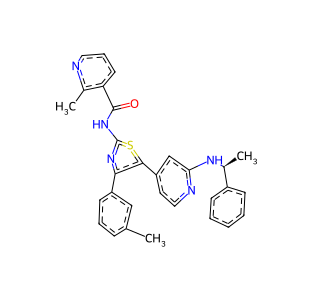 Cc1cccc(-c2nc(NC(=O)c3cccnc3C)sc2-c2ccnc(N[C@@H](C)c3ccccc3)c2)c1